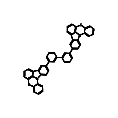 c1cc(-c2cccc(-c3ccc4c(c3)c3cccc5c3n4-c3ccccc3S5)c2)cc(-c2ccc3c(c2)c2cccc4c2n3-c2ccccc2S4)c1